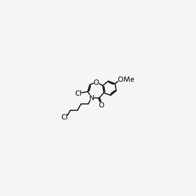 COc1ccc2c(c1)OC=C(Cl)N(CCCCCl)C2=O